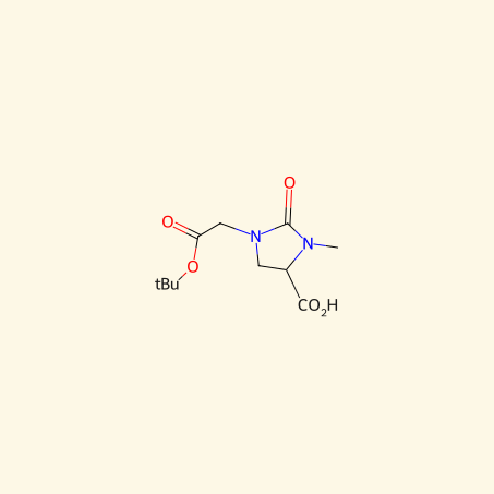 CN1C(=O)N(CC(=O)OC(C)(C)C)CC1C(=O)O